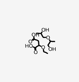 CC(O)COC(C)CO.CCOC(CC(=O)O)C(=O)O